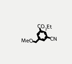 CCOC(=O)c1cc(C#N)cc(COC)c1